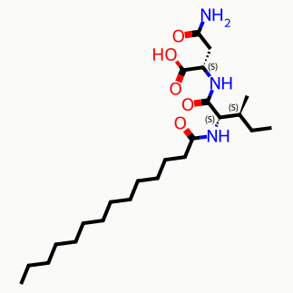 CCCCCCCCCCCCCC(=O)N[C@H](C(=O)N[C@@H](CC(N)=O)C(=O)O)[C@@H](C)CC